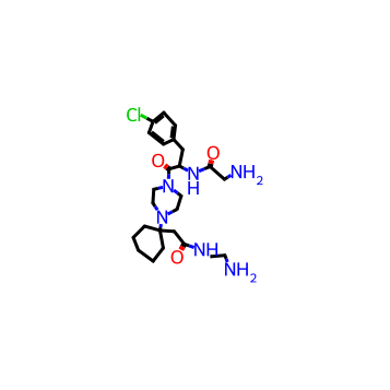 NCCNC(=O)CC1(N2CCN(C(=O)C(Cc3ccc(Cl)cc3)NC(=O)CN)CC2)CCCCC1